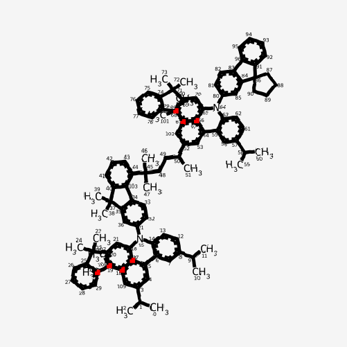 CC(C)c1cc(-c2cc(C(C)C)ccc2N(c2ccc3c(c2)C(C)(C)c2ccccc2-3)c2ccc3c(c2)C(C)(C)c2cccc(C(C)(C)CCC(C)c4cc(-c5cc(C(C)C)ccc5N(c5ccc6c(c5)C(C)(C)c5ccccc5-6)c5ccc6c(c5)C5(CCCC5)c5ccccc5-6)cc(C(C)C)c4)c2-3)cc(C(C)C)c1